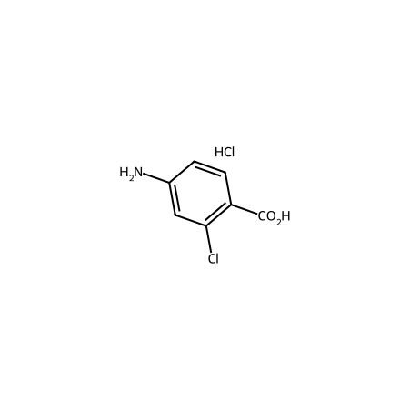 Cl.Nc1ccc(C(=O)O)c(Cl)c1